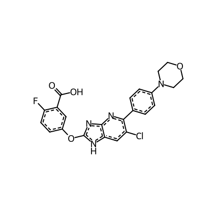 O=C(O)c1cc(Oc2nc3nc(-c4ccc(N5CCOCC5)cc4)c(Cl)cc3[nH]2)ccc1F